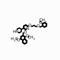 COc1ccccc1COCCCOc1ccc(C2CCNCC2)c(OCc2cc(OC)c3ccccc3c2OC)n1